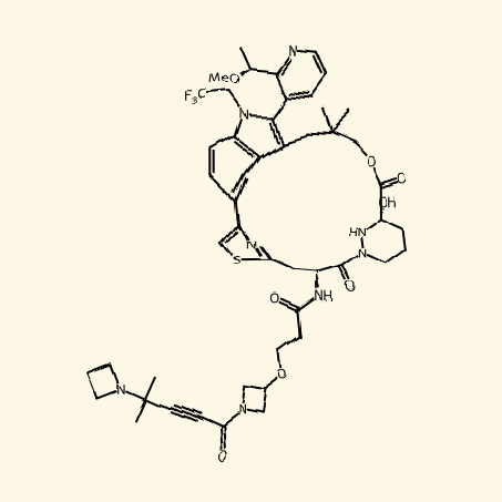 CO[C@@H](C)c1ncccc1-c1c2c3cc(ccc3n1CC(F)(F)F)-c1csc(n1)C[C@H](NC(=O)CCOC1CN(C(=O)C#CC(C)(C)N3CCC3)C1)C(=O)N1CCC[C@@](O)(N1)C(=O)OCC(C)(C)C2